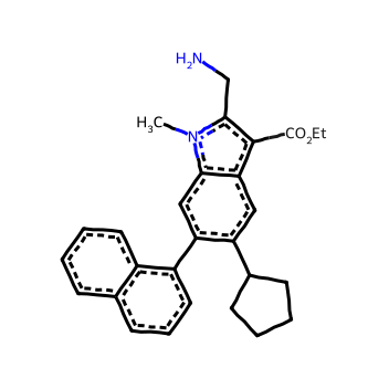 CCOC(=O)c1c(CN)n(C)c2cc(-c3cccc4ccccc34)c(C3CCCC3)cc12